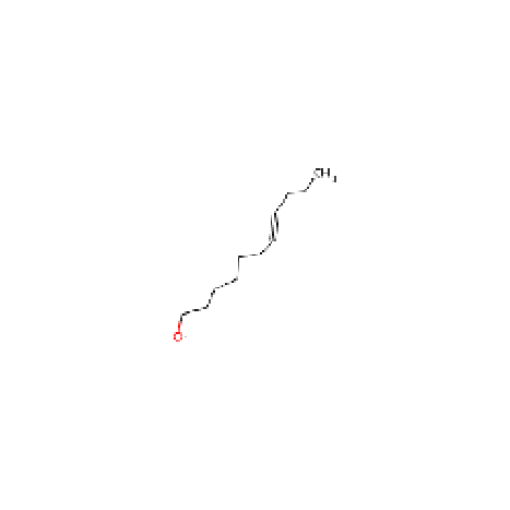 CCCC#CCCCCCC[O]